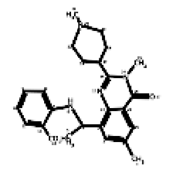 Cc1cc(C(C)Nc2ccccc2C(=O)O)c2nc(C3CCN(C)CC3)n(C)c(=O)c2c1